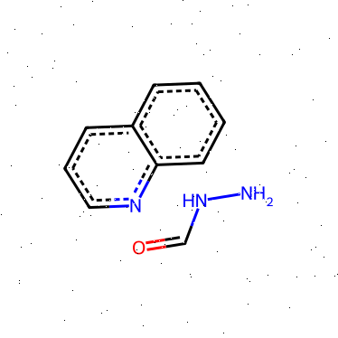 NNC=O.c1ccc2ncccc2c1